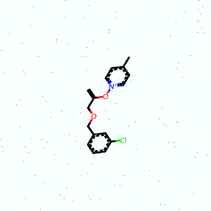 C=C(COCc1cccc(Cl)c1)O[n+]1ccc(C)cc1